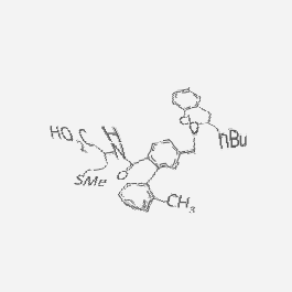 CCCCC(Cc1ccccc1Cl)OCc1ccc(C(=O)NC(CCSC)C(=O)O)c(-c2ccccc2C)c1